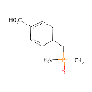 CP(C)(=O)Cc1ccc(C(=O)O)cc1